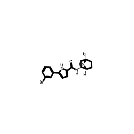 O=C(N[C@@H]1C[C@H]2CC[C@@H]1N2)c1ccc(-c2cccc(Br)c2)[nH]1